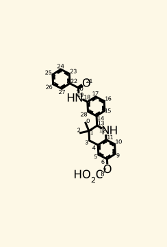 CC1(C)Cc2cc(OC(=O)O)ccc2NC1c1cccc(NC(=O)c2ccccc2)c1